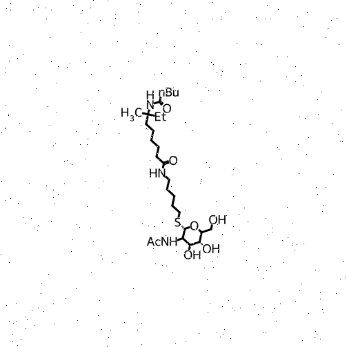 CCCCC(=O)NC(C)(CC)CCCCCC(=O)NCCCCCS[C@@H]1OC(CO)[C@H](O)C(O)C1NC(C)=O